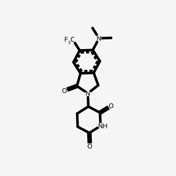 CN(C)c1cc2c(cc1C(F)(F)F)C(=O)N(C1CCC(=O)NC1=O)C2